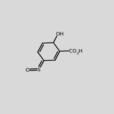 O=S=C1C=CC(O)C(C(=O)O)=C1